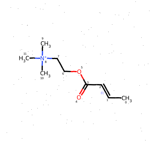 C/C=C/C(=O)OCC[N+](C)(C)C